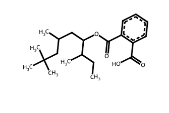 CCC(C)C(CC(C)CC(C)(C)C)OC(=O)c1ccccc1C(=O)O